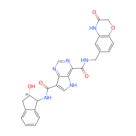 O=C1COc2ccc(CNC(=O)c3ncnc4c(C(=O)NC5c6ccccc6C[C@@H]5O)c[nH]c34)cc2N1